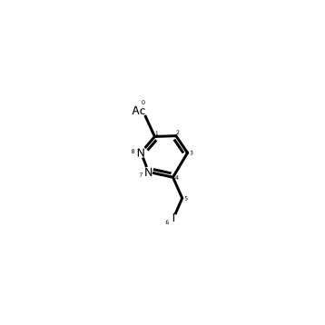 CC(=O)c1ccc(CI)nn1